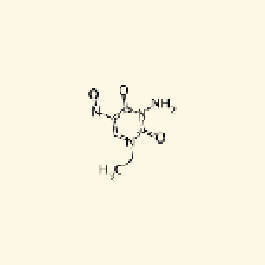 CCn1cc(N=O)c(=O)n(N)c1=O